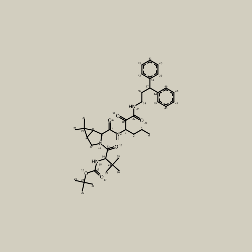 CCCC(NC(=O)C1C2C(CN1C(=O)C(NC(=O)OC(C)(C)C)C(C)(C)C)C2(C)C)C(=O)C(=O)NCCC(c1ccccc1)c1ccccc1